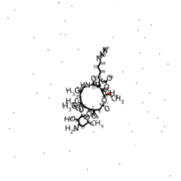 CC[C@H]1OC(=O)CC(=O)[C@H](C)[C@@H](O[C@@H]2OC(C)CC(N)C2O)[C@](C)(OC)C[C@@H](C)CNC(=O)[C@H]2N(CCCCN=[N+]=[N-])C(=O)O[C@]12C